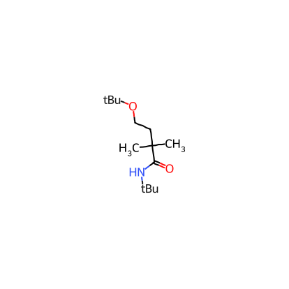 CC(C)(C)NC(=O)C(C)(C)CCOC(C)(C)C